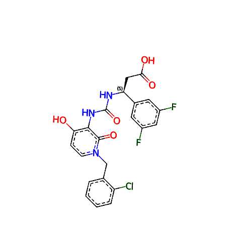 O=C(O)C[C@H](NC(=O)Nc1c(O)ccn(Cc2ccccc2Cl)c1=O)c1cc(F)cc(F)c1